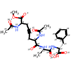 COC(=O)C(CC#CCC(NC(C)=O)C(=O)N[C@H](C)C(=O)N[C@H](Cc1ccccc1)C(=O)O)NC(C)=O